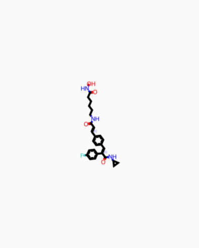 O=C(/C=C/c1ccc(/C=C(/C(=O)NC2CC2)c2ccc(F)cc2)cc1)NCCCCCC(=O)NO